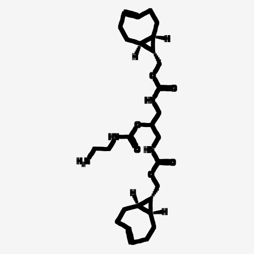 NCCNC(=O)OC(CNC(=O)OC[C@H]1[C@@H]2CC/C=C/CC[C@@H]21)CNC(=O)OC[C@H]1[C@@H]2CC/C=C/CC[C@@H]21